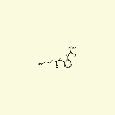 CCCCCCCCCCC(=O)Oc1ccccc1OC(=O)CCCC(C)C